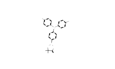 C=C1OB(c2ccc(N(c3ccc(C)cc3)c3ccc(C)cc3)cc2)OC1(C)C